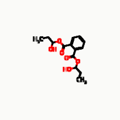 CCC(O)OC(=O)c1ccccc1C(=O)OC(O)CC